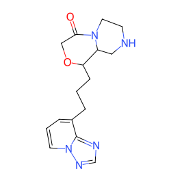 O=C1COC(CCCc2cccn3ncnc23)C2CNCCN12